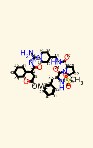 COC(=O)CC(C(=O)/N=C(/N)N1CCC(CNC(=O)[C@@H]2CCCN2C(=O)[C@@H](Cc2ccccc2)NS(C)(=O)=O)CC1)C1CCCCC1